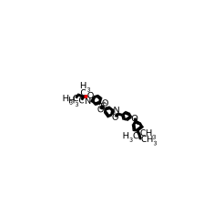 CCC(C)(C)c1ccc(Oc2ccc(-c3nc4cc(S(=O)(=O)c5ccc6oc(C(C)(C)CC)nc6c5)ccc4o3)cc2)cc1